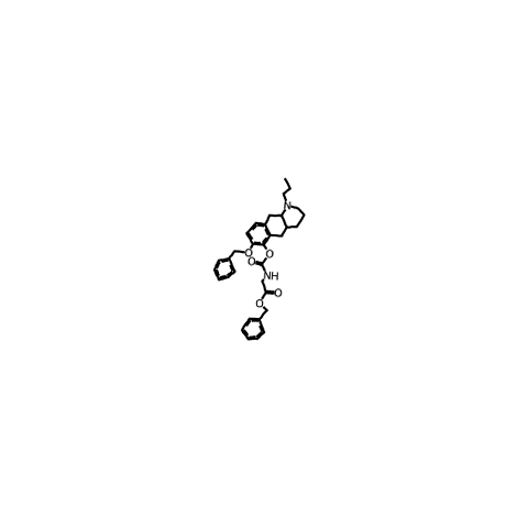 CCCN1CCCC2Cc3c(ccc(OCc4ccccc4)c3OC(=O)NCC(=O)OCc3ccccc3)CC21